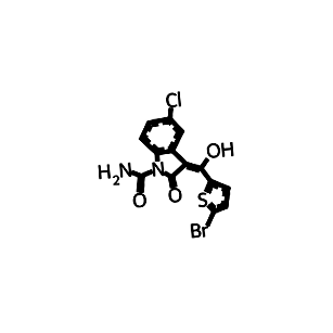 NC(=O)N1C(=O)C(=C(O)c2ccc(Br)s2)c2cc(Cl)ccc21